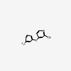 N#Cc1cc(Oc2cccc(C(F)(F)F)c2)ccn1